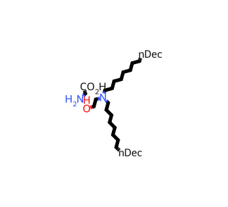 CCCCCCCCCCCCCCCCCCN(CCO)CCCCCCCCCCCCCCCCCC.NCC(=O)O